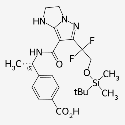 C[C@H](NC(=O)c1c(C(F)(F)CO[Si](C)(C)C(C)(C)C)nn2c1NCC2)c1ccc(C(=O)O)cc1